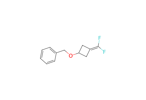 FC(F)=C1CC(OCc2ccccc2)C1